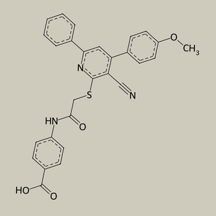 COc1ccc(-c2cc(-c3ccccc3)nc(SCC(=O)Nc3ccc(C(=O)O)cc3)c2C#N)cc1